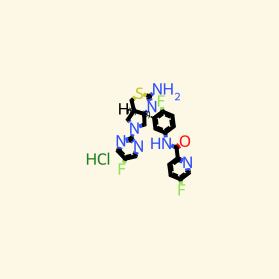 Cl.NC1=N[C@@]2(c3cc(NC(=O)c4ccc(F)cn4)ccc3F)CN(c3ncc(F)cn3)C[C@H]2CS1